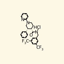 CN(Cc1cc(C(F)(F)F)cc(C(F)(F)F)c1)C(=O)[C@H]1CCN(c2ccccn2)C[C@H]1c1ccccc1.Cl